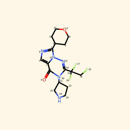 O=c1c2cnc(C3CCOCC3)n2nc(C(F)(F)CF)n1C1CCNC1